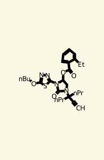 C#CC(CCC)(CCC)N1CC(OC(=O)c2ccccc2CC)N(c2nnc(OCCCC)s2)C1=O